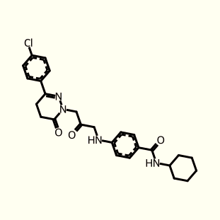 O=C(CNc1ccc(C(=O)NC2CCCCC2)cc1)CN1N=C(c2ccc(Cl)cc2)CCC1=O